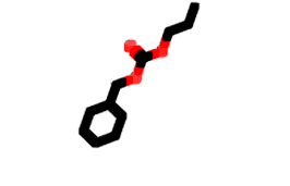 CCCOC(=O)O[CH]C1CCCCC1